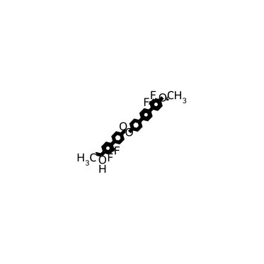 CCOc1ccc(-c2ccc(C3CCC(OC(=O)C4CCC(c5ccc(C(O)CC)c(F)c5F)CC4)CC3)cc2)c(F)c1F